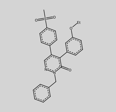 CCOc1cccc(-c2c(-c3ccc(S(C)(=O)=O)cc3)cnn(Cc3ccccc3)c2=O)c1